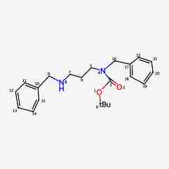 CC(C)(C)OC(=O)N(CCCNCc1ccccc1)Cc1ccccc1